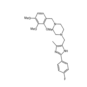 COc1ccc(CN2CCN(Cc3[nH]c(-c4ccc(F)cc4)nc3C)CC2)c(OC)c1OC